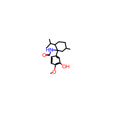 COc1ccc(C2(NC=O)CC(C)CCC2C(C)C)cc1O